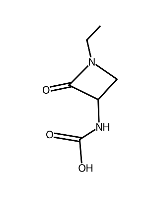 CCN1CC(NC(=O)O)C1=O